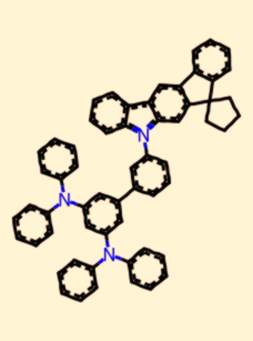 c1ccc(N(c2ccccc2)c2cc(-c3cccc(-n4c5ccccc5c5cc6c(cc54)C4(CCCC4)c4ccccc4-6)c3)cc(N(c3ccccc3)c3ccccc3)c2)cc1